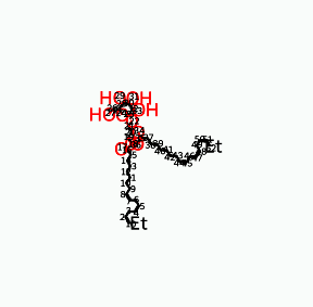 CC/C=C\C/C=C\C/C=C\CCCCCCCC(=O)OCC(CO[C@@H]1O[C@H](CO)[C@H](O)[C@H](O)[C@H]1O)OC(=O)CCCCCCC/C=C\C/C=C\C/C=C\CC